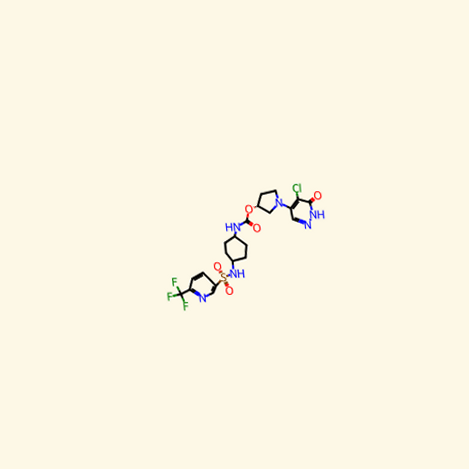 O=C(NC1CCC(NS(=O)(=O)c2ccc(C(F)(F)F)nc2)CC1)O[C@@H]1CCN(c2cn[nH]c(=O)c2Cl)C1